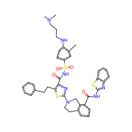 Cc1cc(S(=O)(=O)NC(=O)c2nc(N3CCc4cccc(C(=O)Nc5nc6ccccc6s5)c4C3)sc2CCc2ccccc2)ccc1NCCCN(C)C